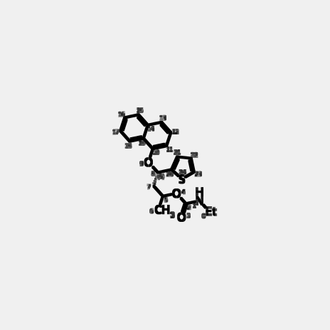 CCNC(=O)OC(C)C[C@H](Oc1cccc2ccccc12)c1cccs1